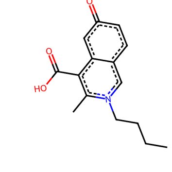 CCCCn1cc2ccc(=O)cc-2c(C(=O)O)c1C